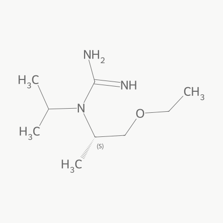 CCOC[C@H](C)N(C(=N)N)C(C)C